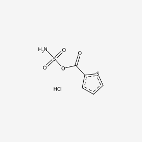 Cl.NS(=O)(=O)OC(=O)c1cccs1